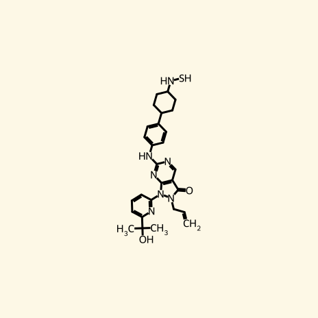 C=CCn1c(=O)c2cnc(Nc3ccc(C4CCC(NS)CC4)cc3)nc2n1-c1cccc(C(C)(C)O)n1